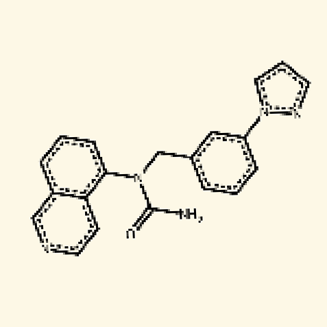 NC(=O)N(Cc1cccc(-n2cccn2)c1)c1cccc2cnccc12